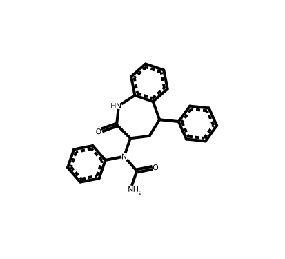 NC(=O)N(c1ccccc1)C1CC(c2ccccc2)c2ccccc2NC1=O